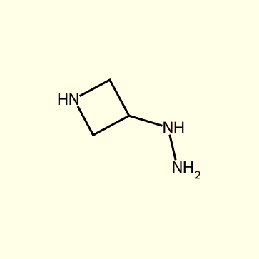 NNC1CNC1